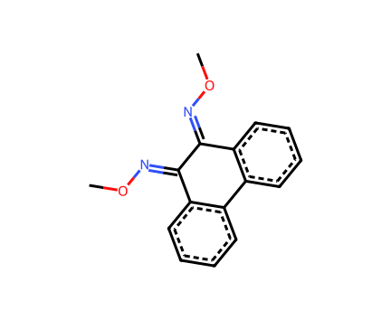 CO/N=C1/C(=N/OC)c2ccccc2-c2ccccc21